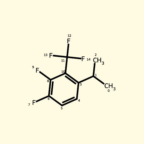 CC(C)c1ccc(F)c(F)c1C(F)(F)F